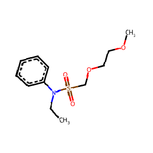 CCN(c1ccccc1)S(=O)(=O)COCCOC